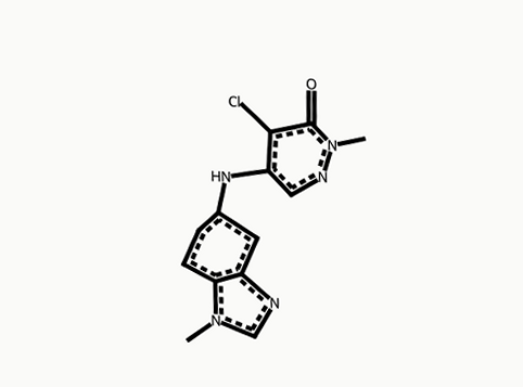 Cn1ncc(Nc2ccc3c(c2)ncn3C)c(Cl)c1=O